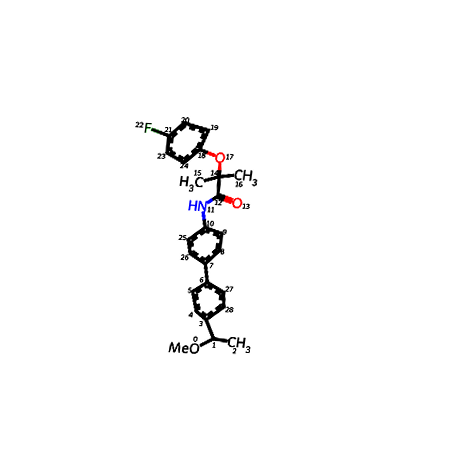 COC(C)c1ccc(-c2ccc(NC(=O)C(C)(C)Oc3ccc(F)cc3)cc2)cc1